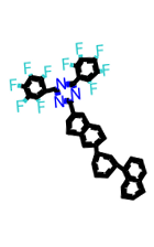 Fc1c(F)c(F)c(-c2nc(-c3ccc4cc(-c5cccc(-c6cccc7ccccc67)c5)ccc4c3)nc(-c3c(F)c(F)c(F)c(F)c3F)n2)c(F)c1F